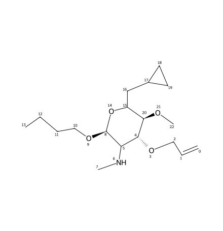 C=CCO[C@@H]1C(NC)[C@@H](OCCCC)OC(CC2CC2)[C@H]1OC